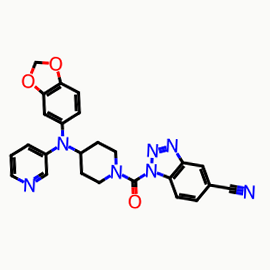 N#Cc1ccc2c(c1)nnn2C(=O)N1CCC(N(c2cccnc2)c2ccc3c(c2)OCO3)CC1